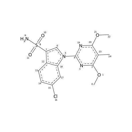 COc1nc(-n2cc(S(N)(=O)=O)c3ccc(Cl)cc32)nc(OC)c1C